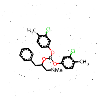 CNCC(Cc1ccccc1)OB(Oc1ccc(C)c(Cl)c1)Oc1ccc(C)c(Cl)c1